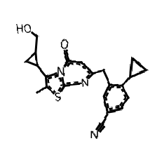 Cc1sc2nc(Cc3cc(C#N)ccc3C3CC3)cc(=O)n2c1C1CC1CO